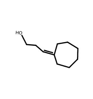 OCCC=C1CCCCCC1